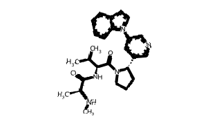 CN[C@@H](C)C(=O)N[C@H](C(=O)N1CCC[C@H]1c1cncc(-n2ccc3ccccc32)c1)C(C)C